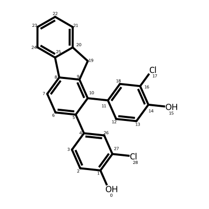 Oc1ccc(-c2ccc3c(c2-c2ccc(O)c(Cl)c2)Cc2ccccc2-3)cc1Cl